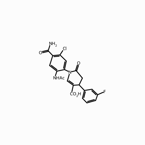 CC(=O)Nc1cc(C(N)=O)c(Cl)cc1N1C=C(C(=O)O)C(c2cccc(F)c2)CC1=O